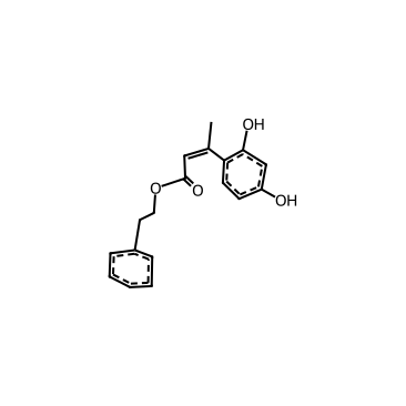 CC(=CC(=O)OCCc1ccccc1)c1ccc(O)cc1O